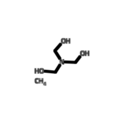 C.OCN(CO)CO